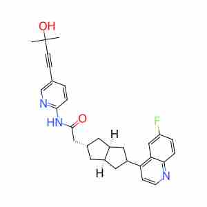 CC(C)(O)C#Cc1ccc(NC(=O)C[C@@H]2C[C@H]3CC(c4ccnc5ccc(F)cc45)C[C@H]3C2)nc1